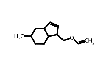 C=COCC1C=CC2CC(C)CCC12